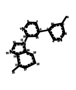 Cc1cncc(-c2ccnc(-n3cnc4c(C)cccc43)c2)c1